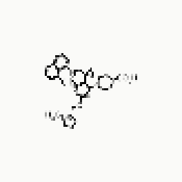 Cc1cccc2cccc(N3Cc4nc(OC[C@@H]5CCCN5C)nc(N5CCN(C(=O)O)CC5)c4C4(CC4)C3)c12